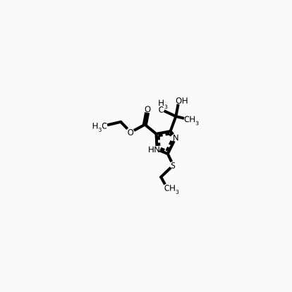 CCOC(=O)c1[nH]c(SCC)nc1C(C)(C)O